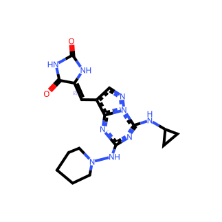 O=C1NC(=O)/C(=C/c2cnn3c(NC4CC4)nc(NN4CCCCC4)nc23)N1